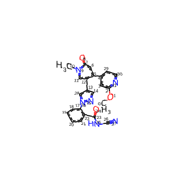 COc1cc(-c2cc(=O)n(C)cc2-c2cnn(-c3ccccc3C(=O)NC#N)c2)ccn1